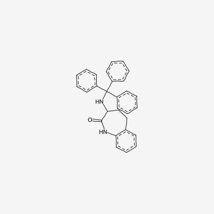 O=C1Nc2ccccc2CCC1NC(c1ccccc1)(c1ccccc1)c1ccccc1